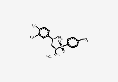 CN(C[C@@H](N)c1ccc(C(F)(F)F)c(C(F)(F)F)c1)S(=O)(=O)c1ccc([N+](=O)[O-])cc1.Cl